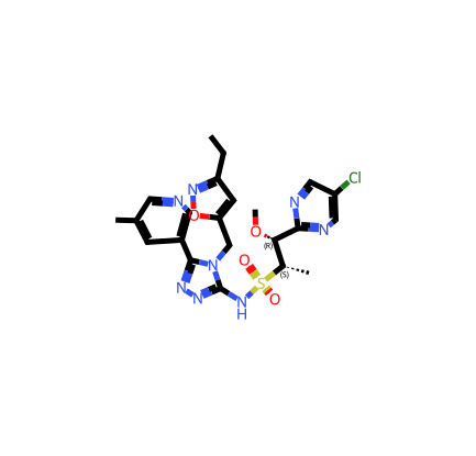 CCc1cc(Cn2c(NS(=O)(=O)[C@@H](C)[C@H](OC)c3ncc(Cl)cn3)nnc2-c2cncc(C)c2)on1